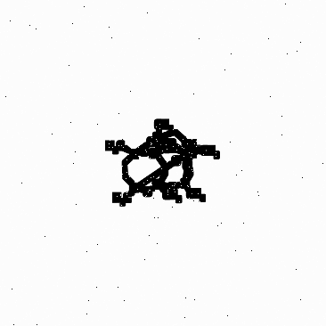 C[Si]12CC[Si]3(C)O[Si@]4(C)CC[Si](C)(O1)O[Si]1(C)CC[Si@@](C)(O4)O[Si@@](C)(CC[Si](C)(O2)O1)O3